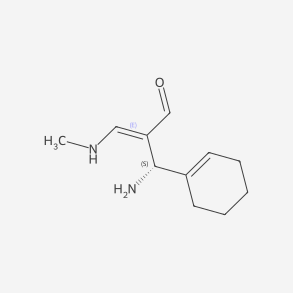 CN/C=C(/C=O)[C@@H](N)C1=CCCCC1